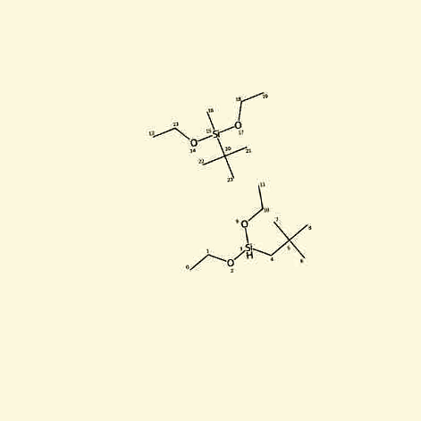 CCO[SiH](CC(C)(C)C)OCC.CCO[Si](C)(OCC)C(C)(C)C